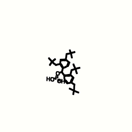 CC(C)(C)Cc1ccc(C(OP(O)O)c2ccc(CC(C)(C)C)cc2CC(C)(C)C)c(CC(C)(C)C)c1